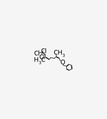 CC(=CCOCc1ccccc1)CCC=C(C)CC(Cl)(Cl)Cl